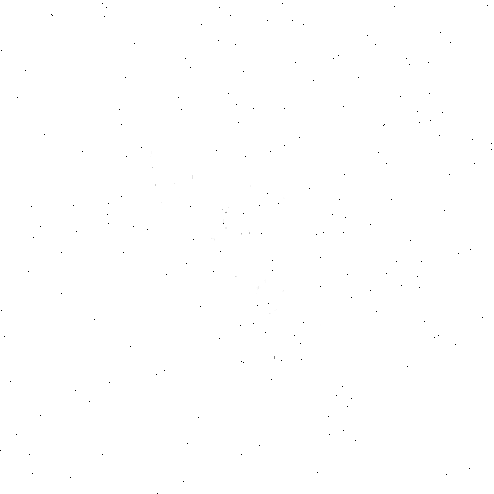 CCOC(Cc1ccc(OCCN(CCOC(F)(F)C(F)(F)C(F)(F)C(F)(F)F)C(=O)NC(C)CC)cc1)C(=O)O